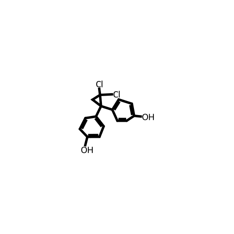 Oc1ccc(C2(c3ccc(O)cc3)CC2(Cl)Cl)cc1